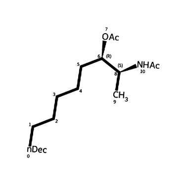 CCCCCCCCCCCCCCC[C@@H](OC(C)=O)[C@H](C)NC(C)=O